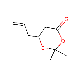 C=CCC1CC(=O)OC(C)(C)O1